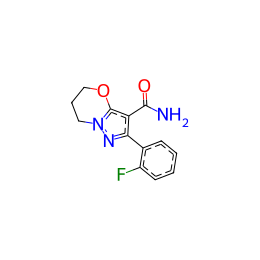 NC(=O)c1c(-c2ccccc2F)nn2c1OCCC2